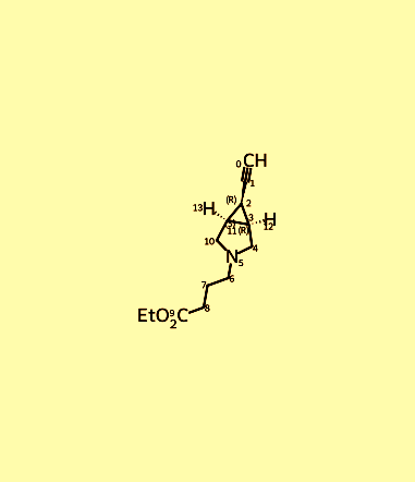 C#C[C@H]1[C@H]2CN(CCCC(=O)OCC)C[C@@H]12